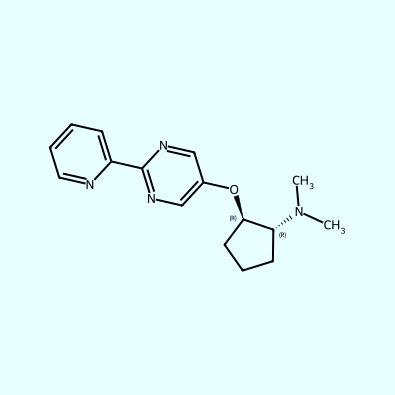 CN(C)[C@@H]1CCC[C@H]1Oc1cnc(-c2ccccn2)nc1